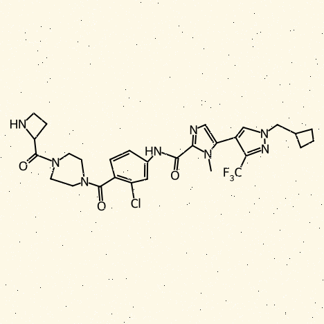 Cn1c(-c2cn(CC3CCC3)nc2C(F)(F)F)cnc1C(=O)Nc1ccc(C(=O)N2CCN(C(=O)C3CCN3)CC2)c(Cl)c1